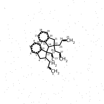 C=CCC1Cc2ccccc2C1(C=C)C1c2ccccc2CC1(CC=C)CC=C